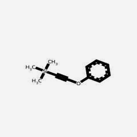 C[Si](C)(C)C#COc1ccccc1